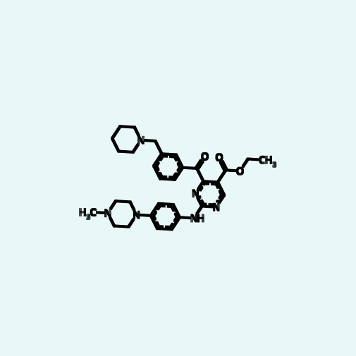 CCOC(=O)c1cnc(Nc2ccc(N3CCN(C)CC3)cc2)nc1C(=O)c1cccc(CN2CCCCC2)c1